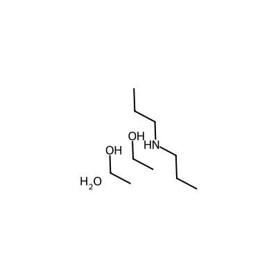 CCCNCCC.CCO.CCO.O